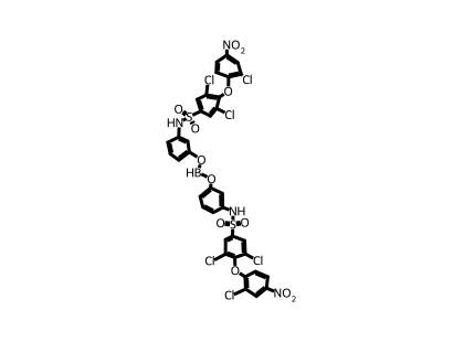 O=[N+]([O-])c1ccc(Oc2c(Cl)cc(S(=O)(=O)Nc3cccc(OBOc4cccc(NS(=O)(=O)c5cc(Cl)c(Oc6ccc([N+](=O)[O-])cc6Cl)c(Cl)c5)c4)c3)cc2Cl)c(Cl)c1